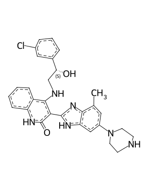 Cc1cc(N2CCNCC2)cc2[nH]c(-c3c(NC[C@@H](O)c4cccc(Cl)c4)c4ccccc4[nH]c3=O)nc12